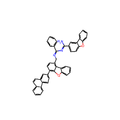 N/C(=N\C(=N/Cc1ccc(-c2ccc3c(ccc4ccccc43)c2)c2oc3ccccc3c12)c1ccccc1)c1ccc2oc3ccccc3c2c1